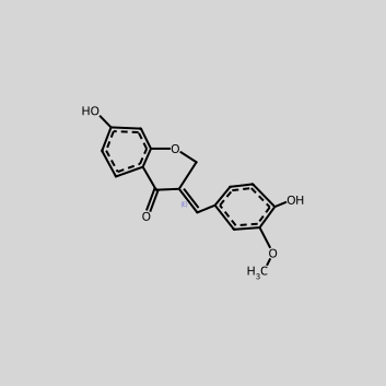 COc1cc(/C=C2\COc3cc(O)ccc3C2=O)ccc1O